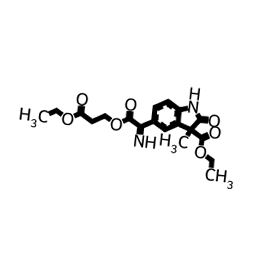 CCOC(=O)CCOC(=O)C(=N)c1ccc2c(c1)C(C)(C(=O)OCC)C(=O)N2